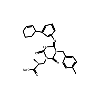 COC(=O)[C@@H](C)Cn1c(=O)[nH]/c(=N\c2cccc(C3C=CCCC3)c2)n(Cc2ccc(C)cc2)c1=O